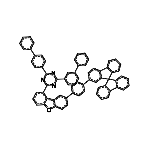 c1ccc(-c2ccc(-c3nc(-c4cccc(-c5ccccc5)c4)nc(-c4cccc5oc6ccc(-c7ccc(-c8ccc9c(c8)C8(c%10ccccc%10-c%10ccccc%108)c8ccccc8-9)cc7)cc6c45)n3)cc2)cc1